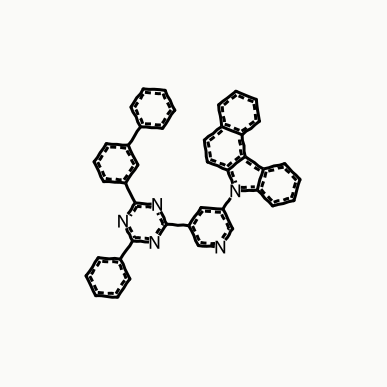 c1ccc(-c2cccc(-c3nc(-c4ccccc4)nc(-c4cncc(-n5c6ccccc6c6c7ccccc7ccc65)c4)n3)c2)cc1